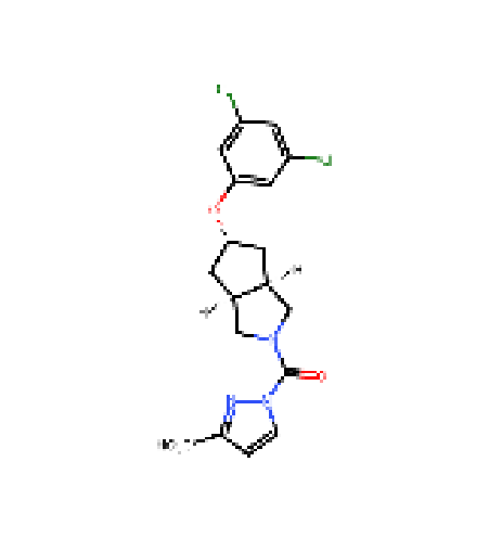 O=C(O)c1ccn(C(=O)N2C[C@H]3C[C@H](Oc4cc(Cl)cc(Cl)c4)C[C@H]3C2)n1